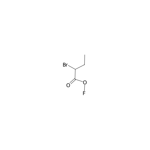 CCC(Br)C(=O)OF